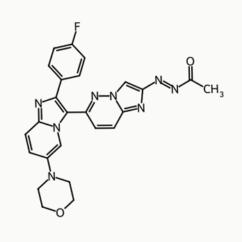 CC(=O)N=Nc1cn2nc(-c3c(-c4ccc(F)cc4)nc4ccc(N5CCOCC5)cn34)ccc2n1